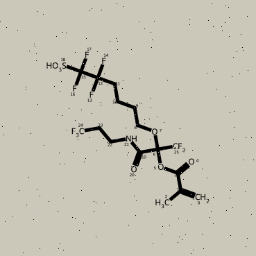 C=C(C)C(=O)OC(OCCCCC(F)(F)C(F)(F)S(=O)(=O)O)(C(=O)NCCC(F)(F)F)C(F)(F)F